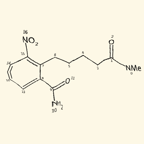 CNC(=O)CCCCc1c(C(N)=O)cccc1[N+](=O)[O-]